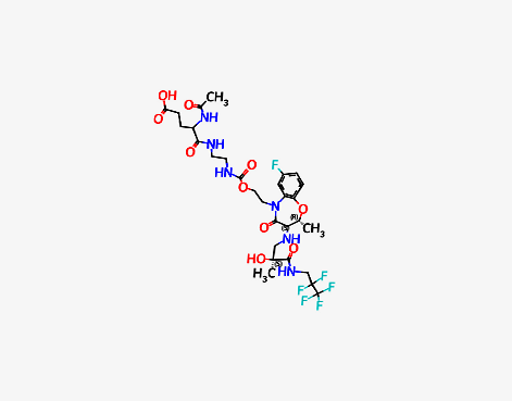 CC(=O)NC(CCC(=O)O)C(=O)NCCNC(=O)OCCN1C(=O)[C@@H](NC[C@](C)(O)C(=O)NCC(F)(F)C(F)(F)F)[C@@H](C)Oc2ccc(F)cc21